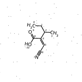 CCC(C)C(=CC#N)C(=O)O